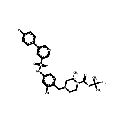 Cc1cc(NS(=O)(=O)c2cncc(-c3ccc(F)cc3)c2)ccc1CN1CCN(C(=O)OC(C)(C)C)[C@@H](C)C1